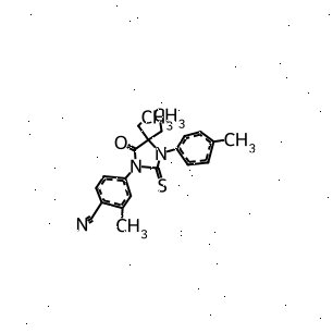 CCC1(CC)C(=O)N(c2ccc(C#N)c(C)c2)C(=S)N1c1ccc(C)cc1